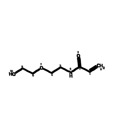 C=CC(=O)NCCOCCO